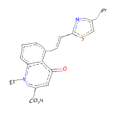 CCn1c(C(=O)O)cc(=O)c2c(C=Cc3nc(C(C)C)cs3)cccc21